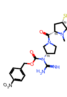 CN1C[C@@H](S)C[C@H]1C(=O)N1CC[C@H](N(C(=N)N)C(=O)OCc2ccc([N+](=O)[O-])cc2)C1